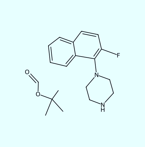 CC(C)(C)OC=O.Fc1ccc2ccccc2c1N1CCNCC1